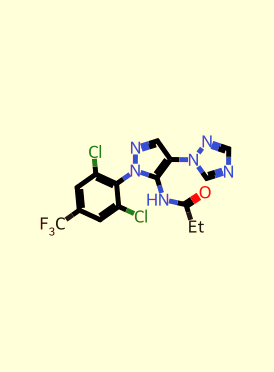 CCC(=O)Nc1c(-n2cncn2)cnn1-c1c(Cl)cc(C(F)(F)F)cc1Cl